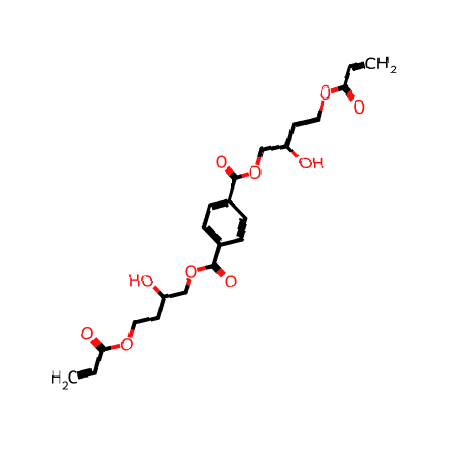 C=CC(=O)OCCC(O)COC(=O)c1ccc(C(=O)OCC(O)CCOC(=O)C=C)cc1